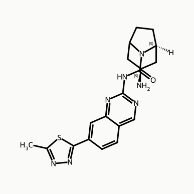 Cc1nnc(-c2ccc3cnc(NC(=O)N4C5CC[C@H]4C[C@@H](N)C5)nc3c2)s1